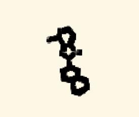 O=C1N=CC=C2NC(c3ccc4ccccc4c3)N=C12